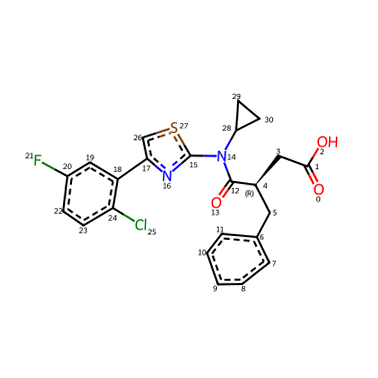 O=C(O)C[C@@H](Cc1ccccc1)C(=O)N(c1nc(-c2cc(F)ccc2Cl)cs1)C1CC1